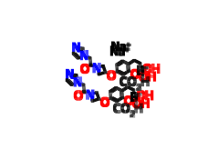 O=C(O)c1c(OC2CN(C(=O)Cn3ccnc3)C2)ccc2c1O[B-](O)(O)CC2.O=C(O)c1c(OC2CN(C(=O)Cn3ccnc3)C2)ccc2c1O[B-](O)(O)CC2.[Na+].[Na+]